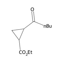 CCCCC(=O)C1CC1C(=O)OCC